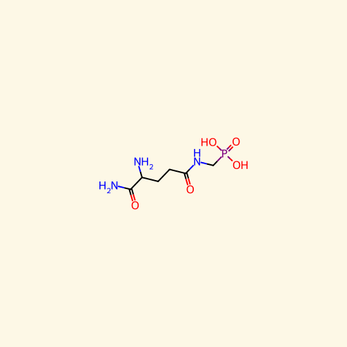 NC(=O)C(N)CCC(=O)NCP(=O)(O)O